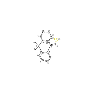 CC1(C)c2ccccc2-c2csc3cccc1c23